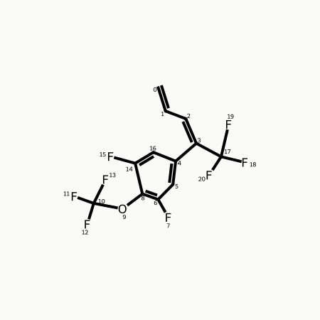 C=C/C=C(\c1cc(F)c(OC(F)(F)F)c(F)c1)C(F)(F)F